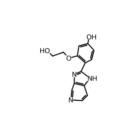 OCCOc1cc(O)ccc1-c1nc2cnccc2[nH]1